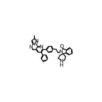 Cc1cc2ncc3cc(-c4ccccc4)c(-c4ccc(CCN5C(=O)c6ccccc6C56CCNCC6)cc4)nc3n2n1